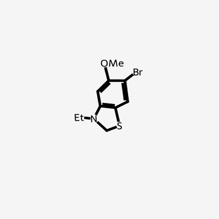 CCN1CSc2cc(Br)c(OC)cc21